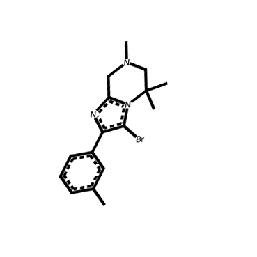 Cc1cccc(-c2nc3n(c2Br)C(C)(C)CN(C)C3)c1